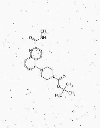 CNC(=O)c1ccc2c(N3CCN(C(=O)OC(C)(C)C)CC3)cccc2n1